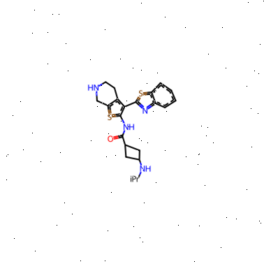 CC(C)NC1CC(C(=O)Nc2sc3c(c2-c2nc4ccccc4s2)CCNC3)C1